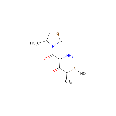 CC(SN=O)C(=O)C(N)C(=O)N1[CH]SCC1C(=O)O